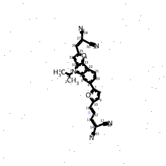 CC(C)n1c2cc(-c3ccc(/C=C/C=C(C#N)C#N)o3)ccc2c2oc(C=C(C#N)C#N)cc21